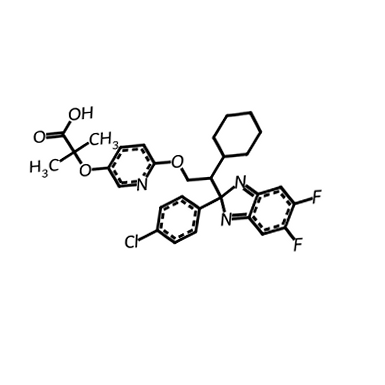 CC(C)(Oc1ccc(OCC(C2CCCCC2)C2(c3ccc(Cl)cc3)N=c3cc(F)c(F)cc3=N2)nc1)C(=O)O